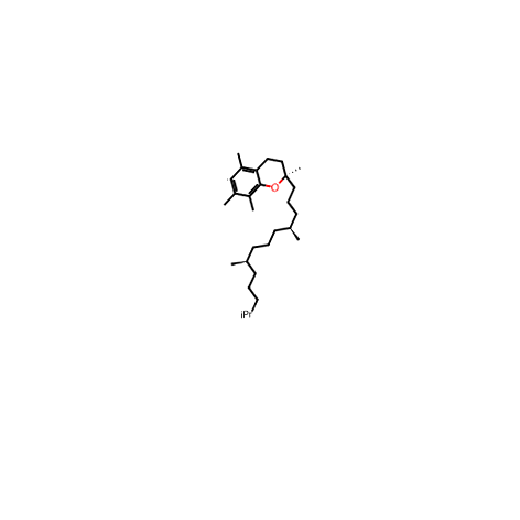 Cc1[c]c(C)c2c(c1C)O[C@](C)(CCC[C@@H](C)CCC[C@H](C)CCCC(C)C)CC2